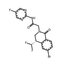 O=C(CN1C[C@@H](C(F)F)c2cc(Br)ccc2C1=O)Nc1ncc(F)cn1